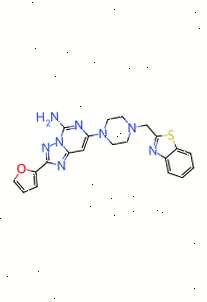 Nc1nc(N2CCN(Cc3nc4ccccc4s3)CC2)cc2nc(-c3ccco3)nn12